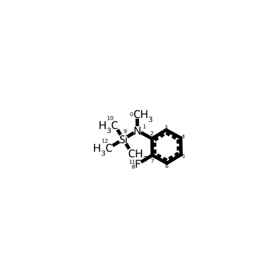 CN(c1ccccc1F)[Si](C)(C)C